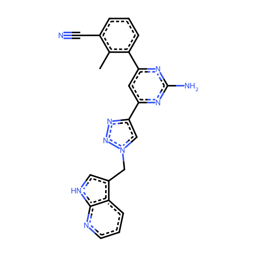 Cc1c(C#N)cccc1-c1cc(-c2cn(Cc3c[nH]c4ncccc34)nn2)nc(N)n1